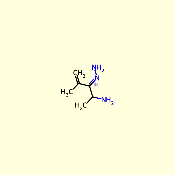 C=C(C)/C(=N\N)C(C)N